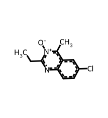 CCc1nc2ccc(Cl)cc2c(C)[n+]1[O-]